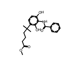 COC(=O)CCCC(C)(C)c1ccc(O)c(NC(=O)c2ccccc2)c1O